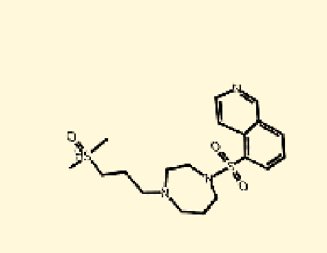 C[SH](C)(=O)CCCN1CCCN(S(=O)(=O)c2cccc3cnccc23)CC1